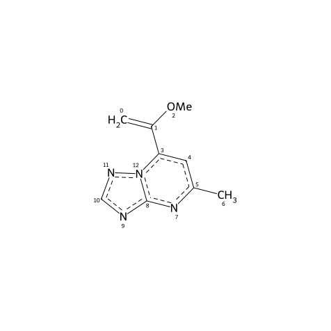 C=C(OC)c1cc(C)nc2ncnn12